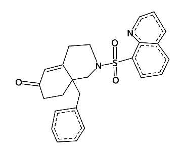 O=C1C=C2CCN(S(=O)(=O)c3cccc4cccnc34)CC2(Cc2ccccc2)CC1